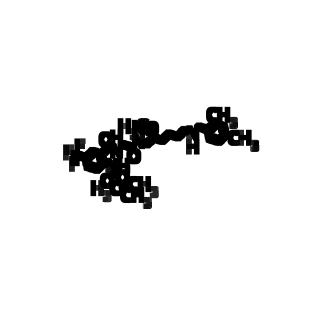 COC(CCCCNCc1ccc(C)cc1C)CNC(=O)CNC(=O)c1cc(C(F)(F)F)ccc1NC(=O)OC(C)(C)C